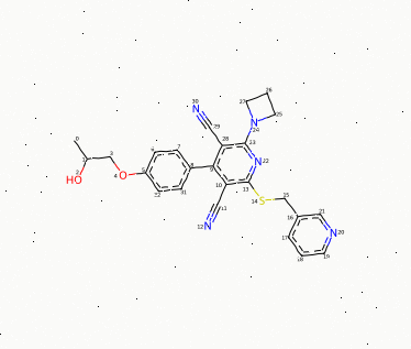 CC(O)COc1ccc(-c2c(C#N)c(SCc3cccnc3)nc(N3CCC3)c2C#N)cc1